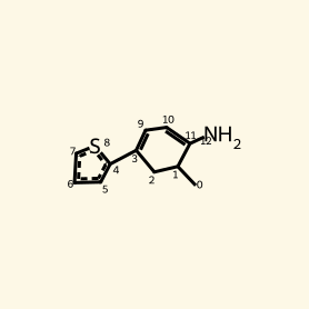 CC1CC(c2cccs2)=CC=C1N